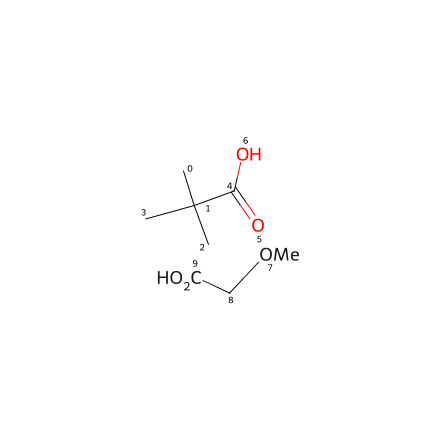 CC(C)(C)C(=O)O.COCC(=O)O